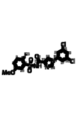 COc1ccc(F)c(S(=O)(=O)NC(=O)c2cn(-c3cc(Cl)cc(Cl)c3)cn2)c1